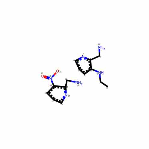 CCNc1cccnc1CN.NCc1ncccc1[N+](=O)[O-]